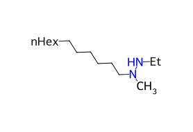 CCCCCCCCCCCCN(C)NCC